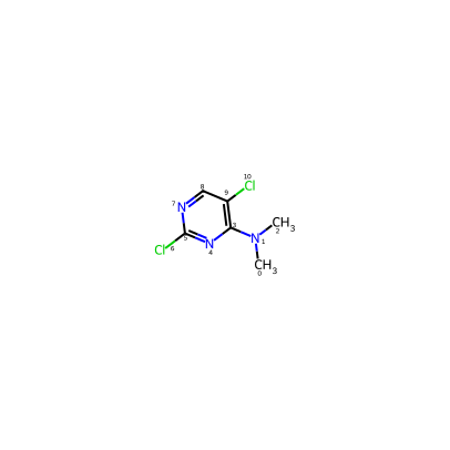 CN(C)c1nc(Cl)ncc1Cl